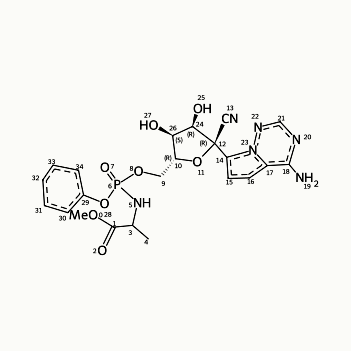 COC(=O)C(C)NP(=O)(OC[C@H]1O[C@@](C#N)(c2ccc3c(N)ncnn23)[C@H](O)[C@@H]1O)Oc1ccccc1